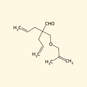 C=CCC(C=O)(CC=C)COCC(=C)C